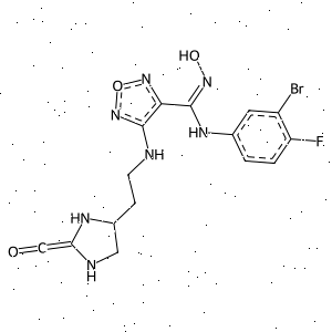 O=C=C1NCC(CCNc2nonc2C(=NO)Nc2ccc(F)c(Br)c2)N1